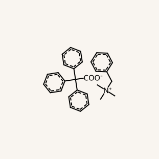 C[N+](C)(C)Cc1ccccc1.O=C([O-])C(c1ccccc1)(c1ccccc1)c1ccccc1